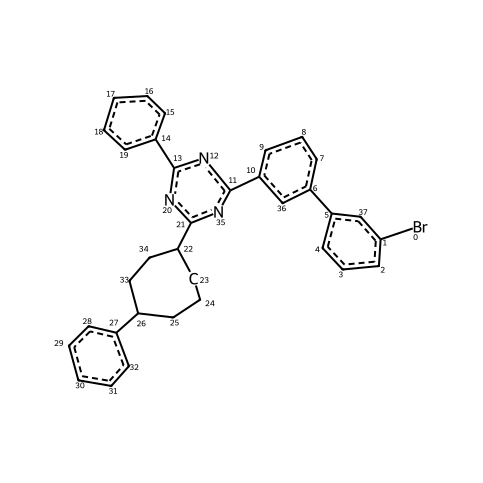 Brc1cccc(-c2cccc(-c3nc(-c4ccccc4)nc(C4CCCC(c5ccccc5)CC4)n3)c2)c1